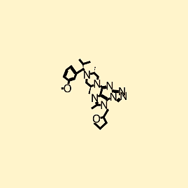 COc1cccc([C@H](C(C)C)N2C[C@H](C)N(c3nc4nncn4c4c3nc(C)n4CC3CCCO3)C[C@H]2C)c1